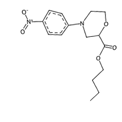 CCCCOC(=O)C1CN(c2ccc([N+](=O)[O-])cc2)CCO1